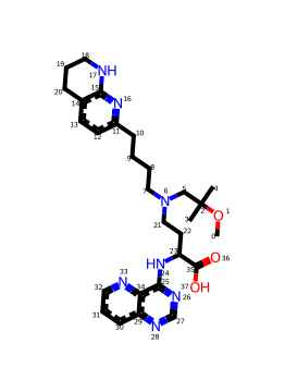 COC(C)(C)CN(CCCCc1ccc2c(n1)NCCC2)CCC(Nc1ncnc2cccnc12)C(=O)O